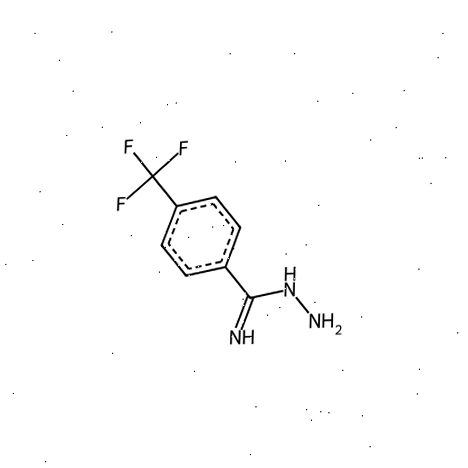 N=C(NN)c1ccc(C(F)(F)F)cc1